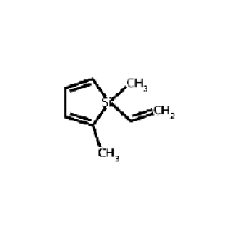 C=C[Si]1(C)C=CC=C1C